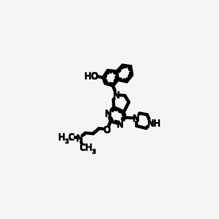 CN(C)CCCOc1nc2c(c(N3CCNCC3)n1)CCN(c1cc(O)cc3ccccc13)C2